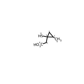 CC1CC1(S)CC(=O)O